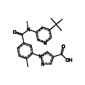 Cc1ccc(C(=O)N(C)c2cncc(C(C)(C)C)c2)cc1-n1cc(C(=O)O)cn1